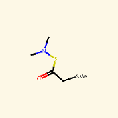 CSCC(=O)SN(C)C